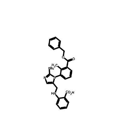 CCCCc1ncc(CNc2ccccc2C(=O)O)n1-c1cccc(C(=O)OCc2ccccc2)c1C